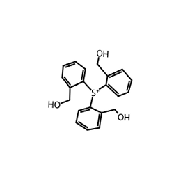 OCc1ccccc1[S+](c1ccccc1CO)c1ccccc1CO